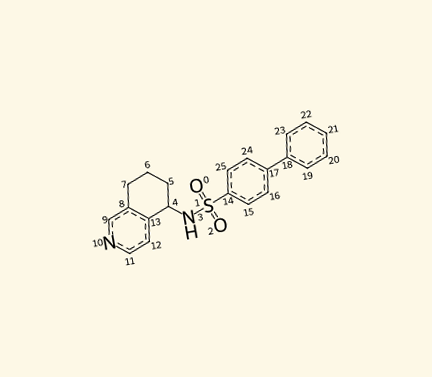 O=S(=O)(NC1CCCc2cnccc21)c1ccc(-c2ccccc2)cc1